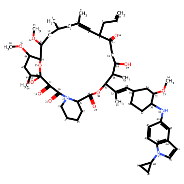 C=CCC1/C=C(\C)CC(C)CC(OC)C2OC(O)(C(=O)C(=O)N3CCCCC3C(=O)OC(C(C)=CC3CCC(Nc4ccc5c(ccn5C5CC5)c4)C(OC)C3)C(C)C(O)CC1=O)C(C)CC2OC